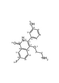 NCCOc1c(-c2cccc(O)c2)[nH]c(=O)c2cc(F)ccc12